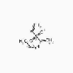 C=CS(=O)(=O)C=C.CS(=O)(=O)O